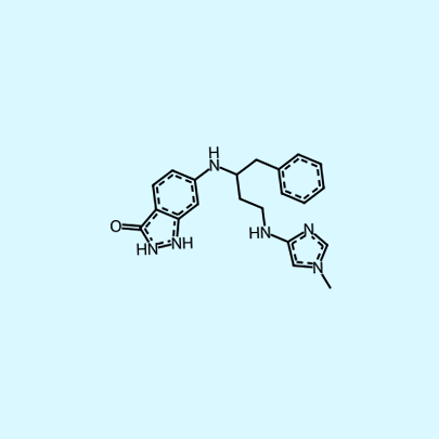 Cn1cnc(NCCC(Cc2ccccc2)Nc2ccc3c(=O)[nH][nH]c3c2)c1